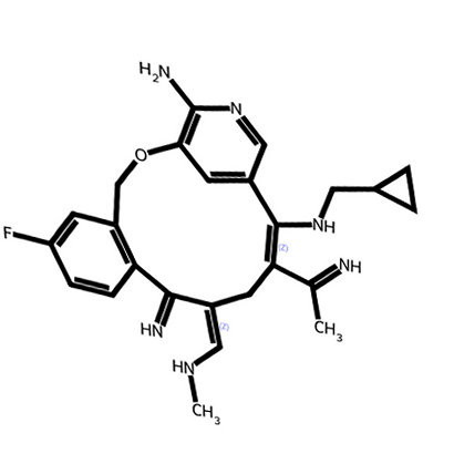 CN/C=C1/C/C(C(C)=N)=C(/NCC2CC2)c2cnc(N)c(c2)OCc2cc(F)ccc2C1=N